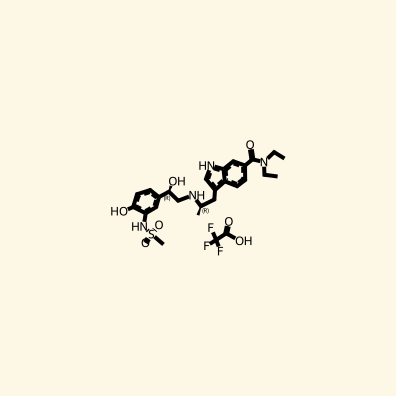 CCN(CC)C(=O)c1ccc2c(C[C@@H](C)NC[C@H](O)c3ccc(O)c(NS(C)(=O)=O)c3)c[nH]c2c1.O=C(O)C(F)(F)F